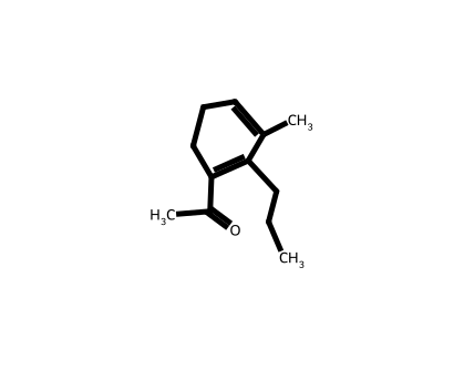 CCCC1=C(C(C)=O)CCC=C1C